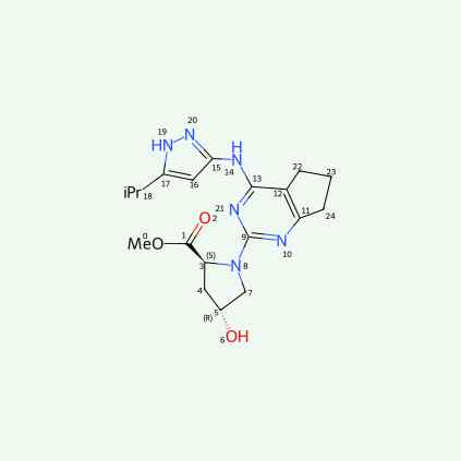 COC(=O)[C@@H]1C[C@@H](O)CN1c1nc2c(c(Nc3cc(C(C)C)[nH]n3)n1)CCC2